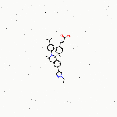 CCn1cc(-c2ccc3c(c2)C[C@@H](C)N(c2ccc(C(C)C)cc2)[C@@H]3C2(C)C=CC(/C=C/C(=O)O)=CC2)cn1